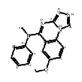 COc1ccc2c(c1)c(N(C)c1ccccc1)nc1nncn12